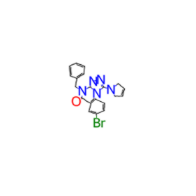 O=c1c2cc(Br)ccc2n2c(N3CC=CC3)nnc2n1Cc1ccccc1